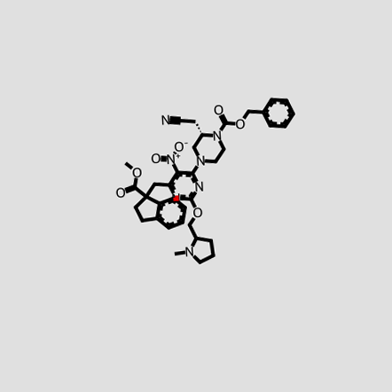 COC(=O)C1(Cc2nc(OCC3CCCN3C)nc(N3CCN(C(=O)OCc4ccccc4)[C@@H](CC#N)C3)c2[N+](=O)[O-])CCc2ccccc21